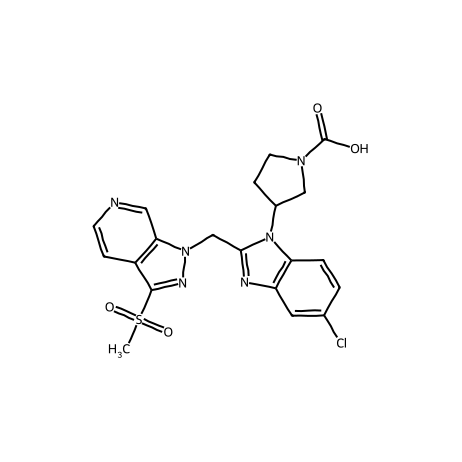 CS(=O)(=O)c1nn(Cc2nc3cc(Cl)ccc3n2C2CCN(C(=O)O)C2)c2cnccc12